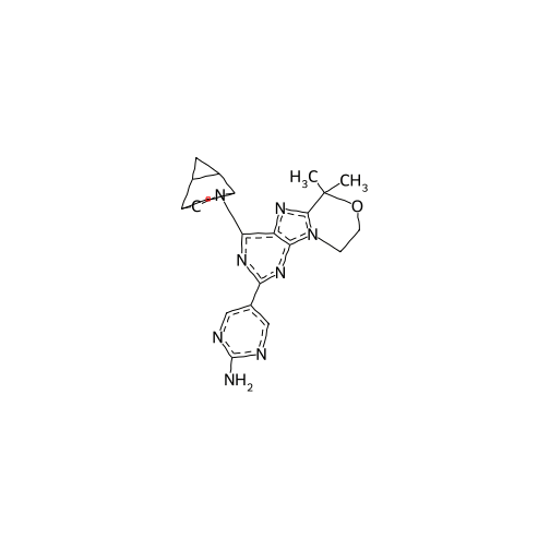 CC1(C)OCCn2c1nc1c(N3CC4CCC3C3CC43)nc(-c3cnc(N)nc3)nc12